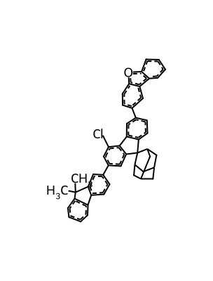 CC1(C)c2ccccc2-c2ccc(-c3cc(Cl)c4c(c3)C3(c5ccc(-c6ccc7oc8ccccc8c7c6)cc5-4)C4CC5CC(C4)CC3C5)cc21